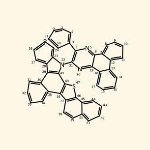 c1ccc(-c2nc3c4ccccc4c4ccccc4c3nc2-n2c3ccccc3c3c4ccccc4c4c5ccc6ccccc6c5sc4c32)cc1